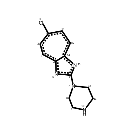 Clc1ccc2nc(N3CCNCC3)nc-2cc1